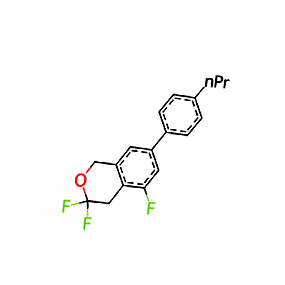 CCCc1ccc(-c2cc(F)c3c(c2)COC(F)(F)C3)cc1